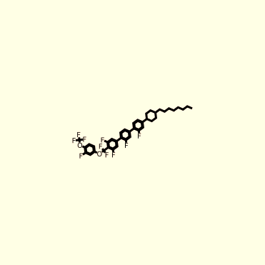 CCCCCCCCC1CCC(c2ccc(-c3ccc(-c4cc(F)c(C(F)(F)Oc5ccc(OC(F)(F)F)c(F)c5)c(F)c4)c(F)c3)c(F)c2)CC1